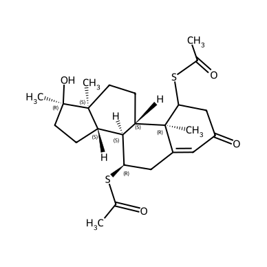 CC(=O)SC1CC(=O)C=C2C[C@@H](SC(C)=O)[C@H]3[C@@H]4CC[C@@](C)(O)[C@@]4(C)CC[C@@H]3[C@]21C